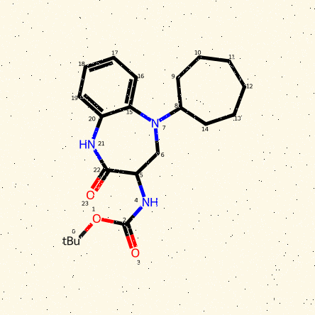 CC(C)(C)OC(=O)NC1CN(C2CCCCCC2)c2ccccc2NC1=O